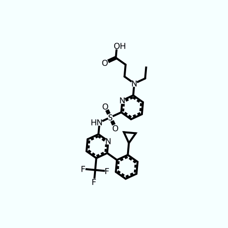 CCN(CCC(=O)O)c1cccc(S(=O)(=O)Nc2ccc(C(F)(F)F)c(-c3ccccc3C3CC3)n2)n1